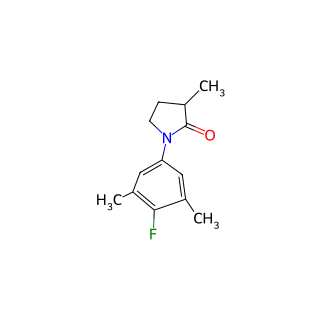 Cc1cc(N2CCC(C)C2=O)cc(C)c1F